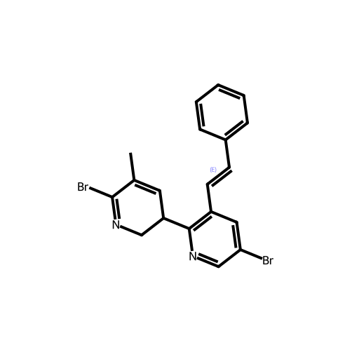 CC1=CC(c2ncc(Br)cc2/C=C/c2ccccc2)CN=C1Br